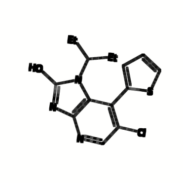 CCC(CC)n1c(O)nc2ncc(Cl)c(-c3cccs3)c21